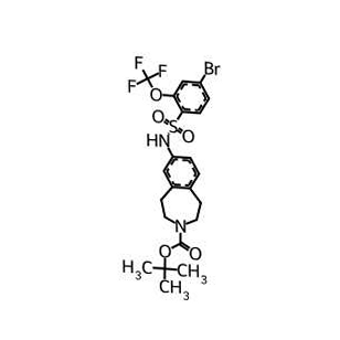 CC(C)(C)OC(=O)N1CCc2ccc(NS(=O)(=O)c3ccc(Br)cc3OC(F)(F)F)cc2CC1